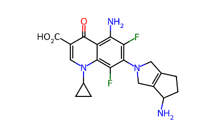 Nc1c(F)c(N2CC3=C(C2)C(N)CC3)c(F)c2c1c(=O)c(C(=O)O)cn2C1CC1